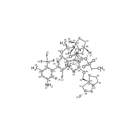 CC[C@@H](OS(=O)(=O)CC)C(=O)N1[C@@H]2CC[C@H]1[C@H]1[C@H](C)Oc3nc(-c4c(F)c(N)cc(C)c4C(F)(F)F)c(F)c4nc(OC[C@@]56CCCN5C[C@H](F)C6)nc(c34)N1C2